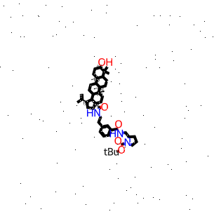 C=C(C)[C@@H]1CC[C@]2(C(=O)NCCc3cccc(C(=O)NCC4CCCN4C(=O)OC(C)(C)C)c3)CC[C@]3(C)C(CCC4[C@@]5(C)CC[C@H](O)C(C)(C)C5CC[C@]43C)C12